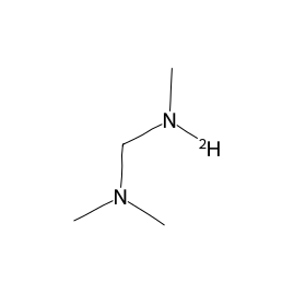 [2H]N(C)CN(C)C